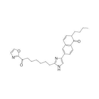 CCCCC1C=Cc2cc(-c3c[nH]c(CCCCCCC(=O)c4ncco4)n3)ccc2C1=O